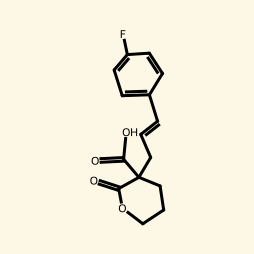 O=C(O)C1(CC=Cc2ccc(F)cc2)CCCOC1=O